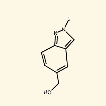 OCc1ccc2nn(I)cc2c1